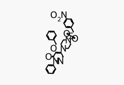 O=c1c(OCc2ccccc2)c(N2CCN(S(=O)(=O)Cc3ccc([N+](=O)[O-])cc3)CC2)cnn1-c1ccccc1